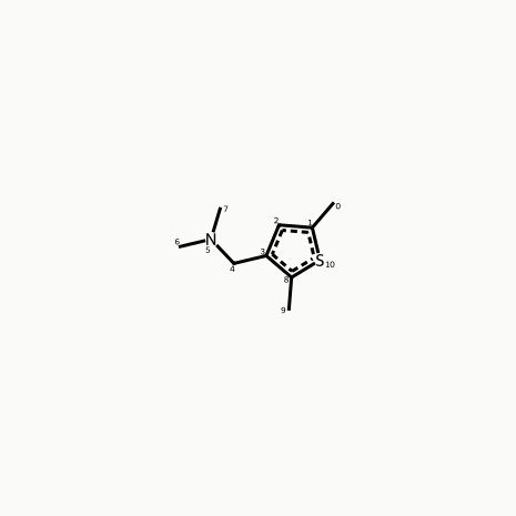 Cc1cc(CN(C)C)c(C)s1